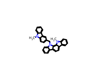 Cn1c2ccccc2c2cc(Cn3c4ccccc4c4ccc5c6ccccc6n(C)c5c43)ccc21